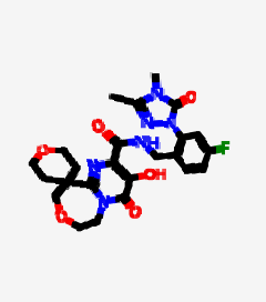 Cc1nn(-c2cc(F)ccc2CNC(=O)c2nc3n(c(=O)c2O)CCOCC32CCOCC2)c(=O)n1C